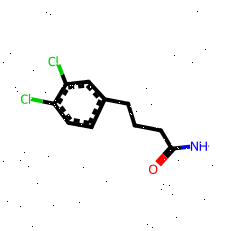 [NH]C(=O)CCCc1ccc(Cl)c(Cl)c1